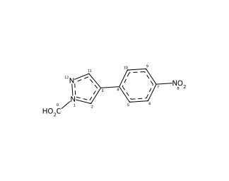 O=C(O)n1cc(-c2ccc([N+](=O)[O-])cc2)cn1